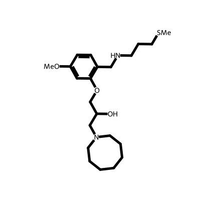 COc1ccc(CNCCCSC)c(OCC(O)CN2CCCCCCC2)c1